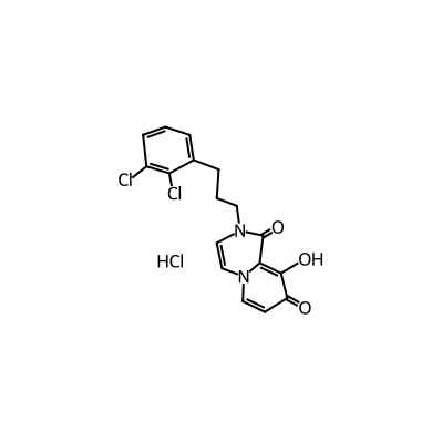 Cl.O=c1ccn2ccn(CCCc3cccc(Cl)c3Cl)c(=O)c2c1O